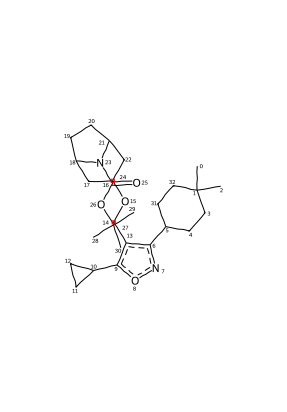 CC1(C)CCC(c2noc(C3CC3)c2COC2CC3CCC(C2)N3C(=O)OC(C)(C)C)CC1